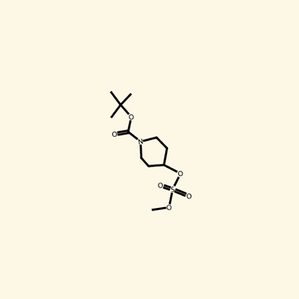 COS(=O)(=O)OC1CCN(C(=O)OC(C)(C)C)CC1